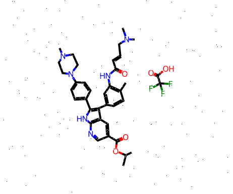 Cc1ccc(-c2c(-c3ccc(N4CCN(C)CC4)cc3)[nH]c3ncc(C(=O)OC(C)C)cc23)cc1NC(=O)C=CCN(C)C.O=C(O)C(F)(F)F